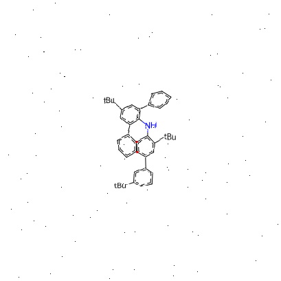 CC(C)(C)c1cccc(-c2ccc(Nc3c(-c4ccccc4)cc(C(C)(C)C)cc3-c3ccccc3)c(C(C)(C)C)c2)c1